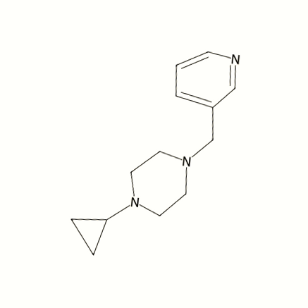 c1cncc(CN2CCN(C3CC3)CC2)c1